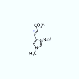 Cn1cnc(/C=C/C(=O)O)c1.[NaH]